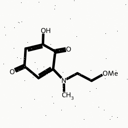 COCCN(C)C1=CC(=O)C=C(O)C1=O